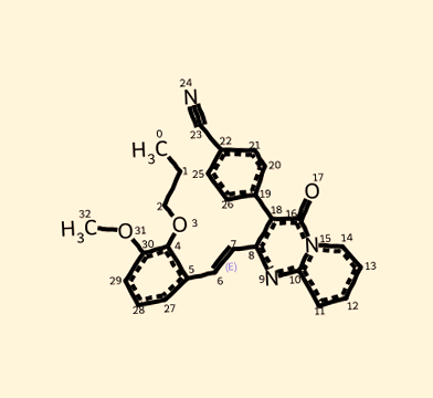 CCCOc1c(/C=C/c2nc3ccccn3c(=O)c2-c2ccc(C#N)cc2)cccc1OC